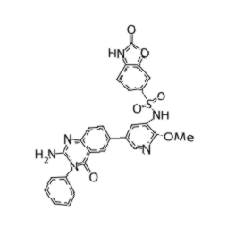 COc1ncc(-c2ccc3nc(N)n(-c4ccccc4)c(=O)c3c2)cc1NS(=O)(=O)c1ccc2[nH]c(=O)oc2c1